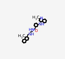 Cc1cc(Nc2cccc(C(=O)NCCNCc3ccc4ccccc4c3C)c2)c2ccccc2n1